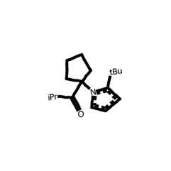 CC(C)C(=O)C1(n2cccc2C(C)(C)C)CCCC1